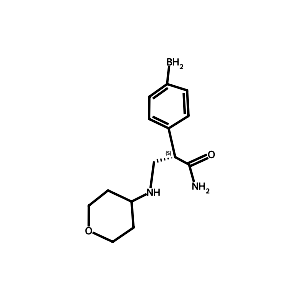 Bc1ccc([C@@H](CNC2CCOCC2)C(N)=O)cc1